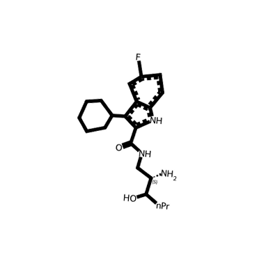 CCCC(O)[C@@H](N)CNC(=O)c1[nH]c2ccc(F)cc2c1C1CCCCC1